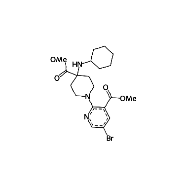 COC(=O)c1cc(Br)cnc1N1CCC(NC2CCCCC2)(C(=O)OC)CC1